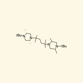 CC1CN(C(C)(C)CCC(C)(C)N2C[C@@H](C)N(C(C)(C)C)C[C@H]2C)C(C)CN1C(C)(C)C